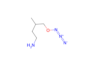 CC(CCN)CON=[N+]=[N-]